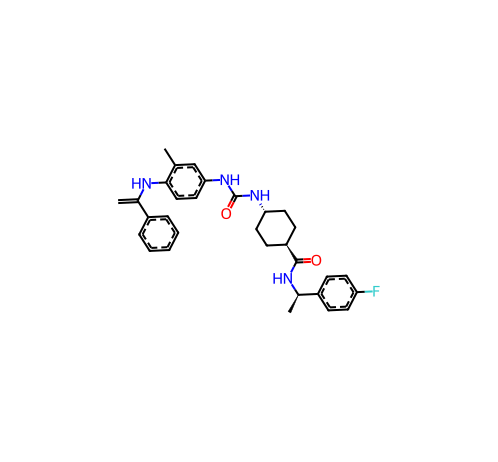 C=C(Nc1ccc(NC(=O)N[C@H]2CC[C@H](C(=O)N[C@H](C)c3ccc(F)cc3)CC2)cc1C)c1ccccc1